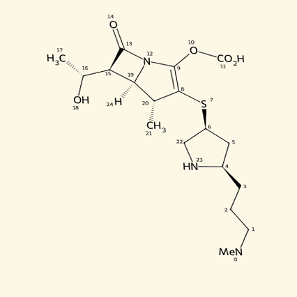 CNCCC[C@@H]1C[C@H](SC2=C(OC(=O)O)N3C(=O)[C@H]([C@@H](C)O)[C@@H]3[C@H]2C)CN1